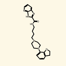 O=C(NCCCCN1CCN(c2cccc3c2OCC3)CC1)c1nc2cccnc2[nH]1